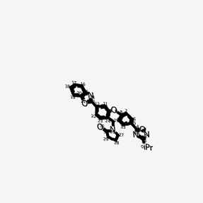 CC(C)c1noc(-c2ccc(Oc3cc(-c4nc5ccccc5o4)ccc3CN3CCCC3=O)cc2)n1